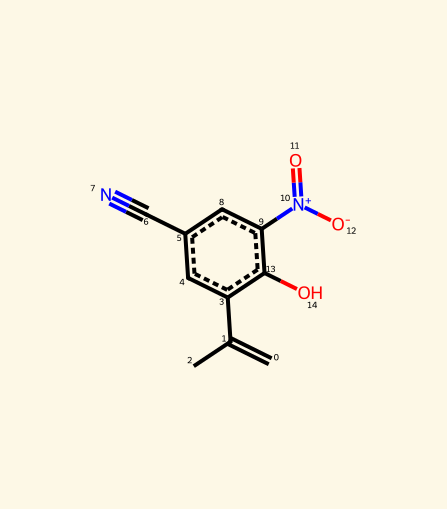 C=C(C)c1cc(C#N)cc([N+](=O)[O-])c1O